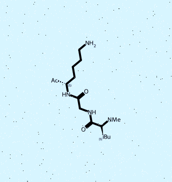 CC[C@H](C)C(NC)C(=O)NCC(=O)N[C@@H](CCCCN)C(C)=O